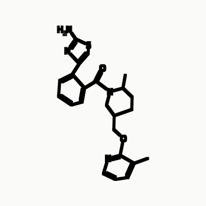 Cc1cccnc1OCC1CCC(C)N(C(=O)c2ccccc2-c2csc(N)n2)C1